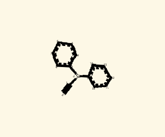 C#C[Si](c1ccccc1)c1ccccc1